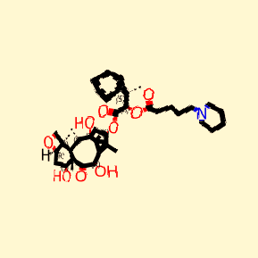 CC1=C2[C@@H](O)C(=O)[C@@]3(C)C([C@H](C)[C@](O)(C[C@@H]1OC(=O)[C@H](OC(=O)CCCCN1CCCCC1)[C@@H](C)c1ccccc1)C2(C)C)[C@]1(C)CO[C@@H]1C[C@@H]3O